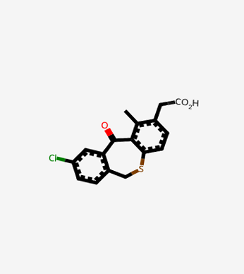 Cc1c(CC(=O)O)ccc2c1C(=O)c1cc(Cl)ccc1CS2